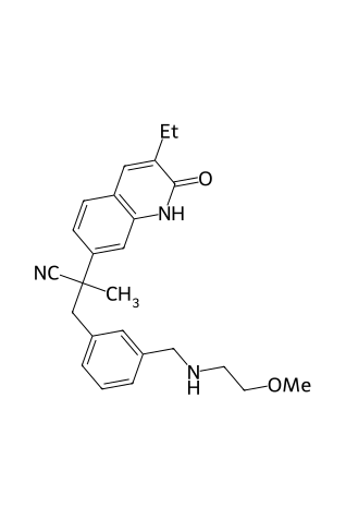 CCc1cc2ccc(C(C)(C#N)Cc3cccc(CNCCOC)c3)cc2[nH]c1=O